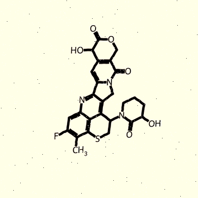 Cc1c(F)cc2nc3c(c4c2c1SCC4N1CCCC(O)C1=O)Cn1c-3cc2c(c1=O)COC(=O)C2O